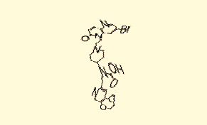 O=C(O)N(Cc1cc2c(cn1)OCCO2)C1CCN(CCn2c(=O)ccc3ncc(Br)cc32)CC1